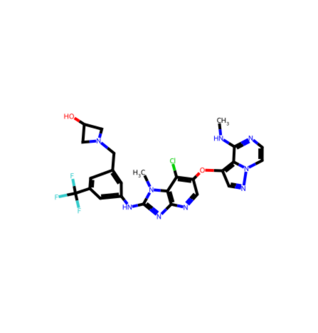 CNc1nccn2ncc(Oc3cnc4nc(Nc5cc(CN6CC(O)C6)cc(C(F)(F)F)c5)n(C)c4c3Cl)c12